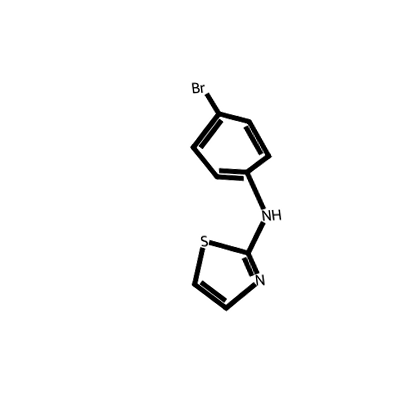 Brc1ccc(Nc2nccs2)cc1